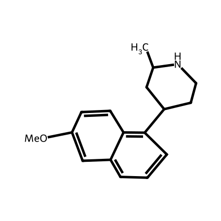 COc1ccc2c(C3CCNC(C)C3)cccc2c1